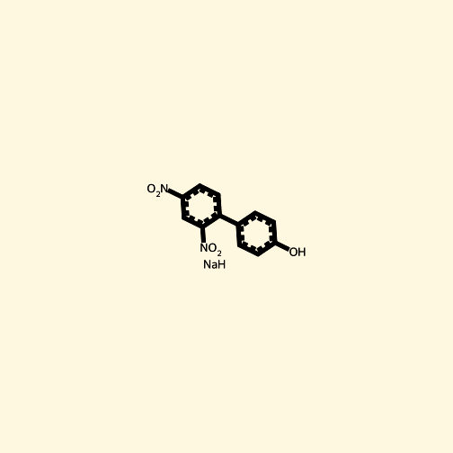 O=[N+]([O-])c1ccc(-c2ccc(O)cc2)c([N+](=O)[O-])c1.[NaH]